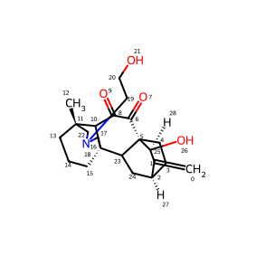 C=C1[C@H]2CC[C@@]3(C(=O)C(=O)C4[C@@]5(C)CCC[C@@]4(CN(CCO)C5)C3C2)[C@H]1O